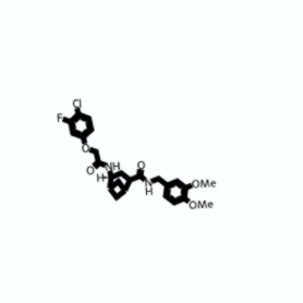 COc1ccc(CNC(=O)C2C[C@H](NC(=O)COc3ccc(Cl)c(F)c3)C3CC2C3)cc1OC